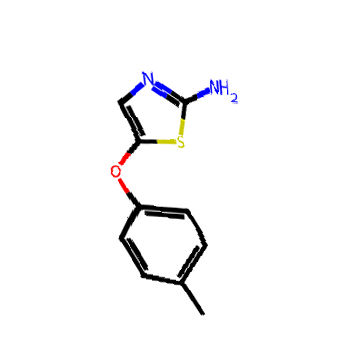 Cc1ccc(Oc2cnc(N)s2)cc1